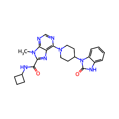 Cn1c(C(=O)NC2CCC2)nc2c(N3CCC(n4c(=O)[nH]c5ccccc54)CC3)ncnc21